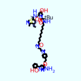 C=C(/C=C\C(=C/C)c1scnc1C)[C@H](C)NC(=O)[C@@H]1C[C@@H](O)CN1C(=O)[C@@H](NC(=O)CCCCCCCCCCC(=O)N(C)CCCN(C)c1ccc(CCOc2cc(-c3ccccc3O)nnc2N)cc1)C(C)(C)C